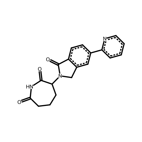 O=C1CCCC(N2Cc3cc(-c4ccccn4)ccc3C2=O)C(=O)N1